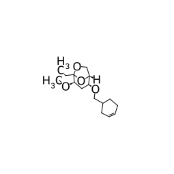 CCC12OC[C@@H](O1)[C@@H](OCC1CC=CCC1)C[C@H]2OC